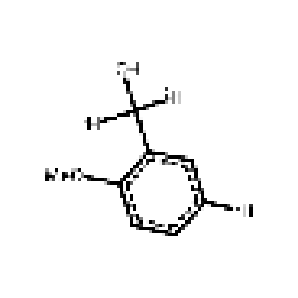 [2H]c1ccc(OC)c(C([2H])([2H])O)c1